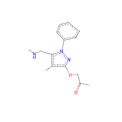 CNCc1c(C)c(OCC(C)=O)nn1-c1ccccc1